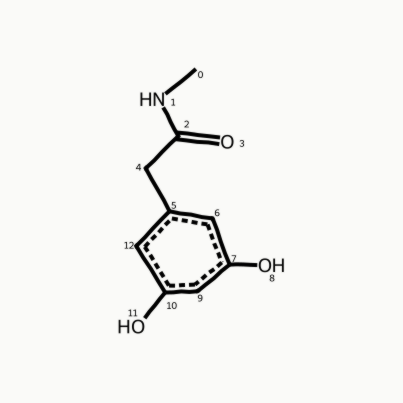 CNC(=O)Cc1cc(O)cc(O)c1